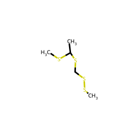 CSSCSC(C)SC